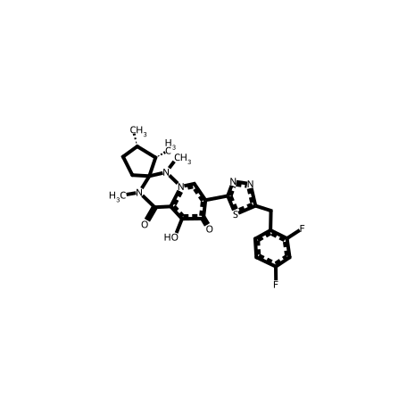 C[C@H]1CCC2([C@H]1C)N(C)C(=O)c1c(O)c(=O)c(-c3nnc(Cc4ccc(F)cc4F)s3)cn1N2C